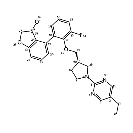 CCc1cnc(N2CC[C@@H](COc3c(F)cccc3-c3cccc4c3[S+]([O-])CO4)C2)nc1